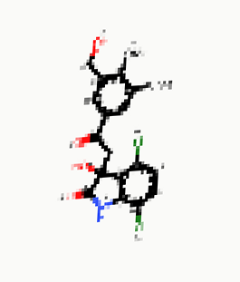 COc1cc(C(=O)CC2(O)C(=O)Nc3c(Cl)ccc(Cl)c32)cc(CO)c1OC